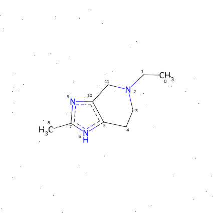 CCN1CCc2[nH]c(C)nc2C1